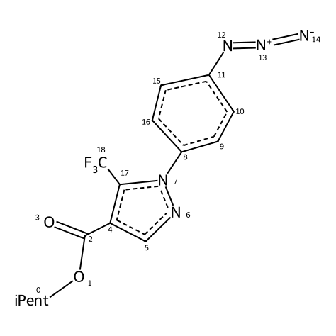 CCCC(C)OC(=O)c1cnn(-c2ccc(N=[N+]=[N-])cc2)c1C(F)(F)F